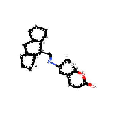 O=c1ccc2cc(/N=C/c3c4ccccc4cc4ccccc34)ccc2o1